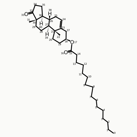 CCCCCCCCCCCCCCCC(=O)O[C@H]1CC[C@@]2(C)C(=CC[C@@H]3[C@@H]2CC[C@]2(C)C(=O)CC[C@@H]32)C1